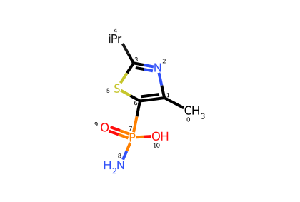 Cc1nc(C(C)C)sc1P(N)(=O)O